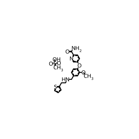 COc1cc(CNCCc2cccs2)ccc1Oc1ccc(C(N)=O)nc1.CS(=O)(=O)O